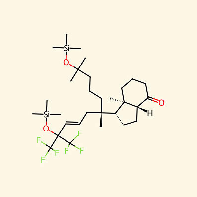 CC(C)(CCC[C@@](C)(C/C=C/C(O[Si](C)(C)C)(C(F)(F)F)C(F)(F)F)[C@H]1CC[C@H]2C(=O)CCC[C@]12C)O[Si](C)(C)C